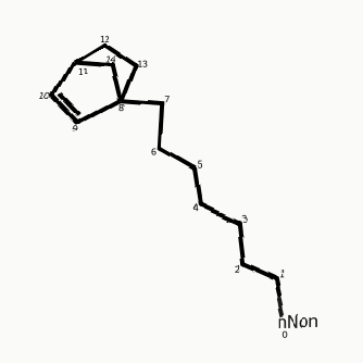 CCCCCCCCCCCCCCCCC12C=CC(CC1)C2